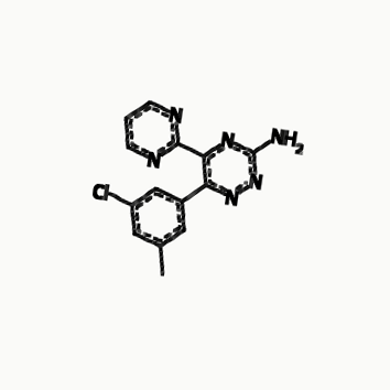 Cc1cc(Cl)cc(-c2nnc(N)nc2-c2ncccn2)c1